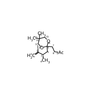 C=C(I)[C@H](C)CC1(CCC(C)=O)OCC(C)(C)CO1